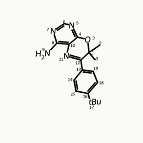 CC1(C)Oc2ncnc(N)c2N=C1c1ccc(C(C)(C)C)cc1